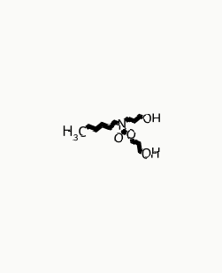 CCCCCCN(CCCO)C(=O)OCCCO